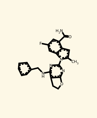 Cc1cc2c(C(N)=O)cc(F)cc2n1-c1nc(NCc2ccccc2)c2c(n1)OCC2